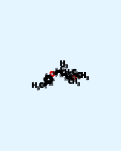 CCc1ccc(OCC=C(C)CCCC(C)(C)OC(C)C)cc1